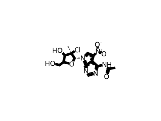 CC(=O)Nc1ncnc2c1c([N+](=O)[O-])cn2[C@@H]1OC(CO)C(O)[C@@]1(C)Cl